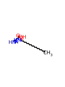 CCCCCCCCCCCCCCCCCCCC(=O)NC(Cc1c[nH]cn1)C(=O)O